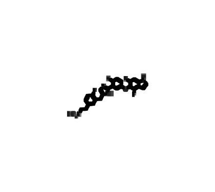 O=C(O)CCc1ccc(F)c(Cc2cnc(-c3cc(Oc4c(F)cc5[nH]ccc5c4F)ccc3F)[nH]2)c1